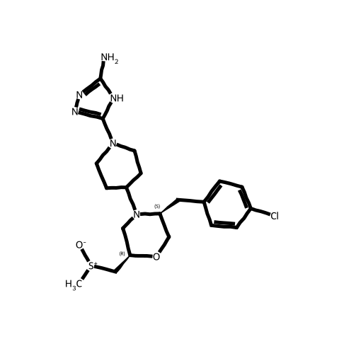 C[S+]([O-])C[C@H]1CN(C2CCN(c3nnc(N)[nH]3)CC2)[C@@H](Cc2ccc(Cl)cc2)CO1